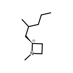 CCCC(C)C[C@H]1CCN1C